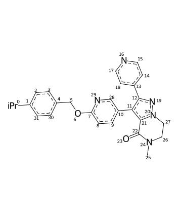 CC(C)c1ccc(COc2ccc(-c3c(-c4ccncc4)nn4c3C(=O)N(C)CC4)cn2)cc1